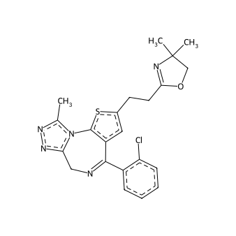 Cc1nnc2n1-c1sc(CCC3=NC(C)(C)CO3)cc1C(c1ccccc1Cl)=NC2